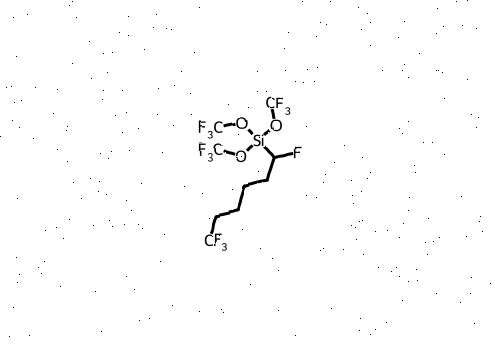 FC(CCCCC(F)(F)F)[Si](OC(F)(F)F)(OC(F)(F)F)OC(F)(F)F